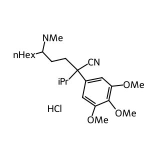 CCCCCCC(CCC(C#N)(c1cc(OC)c(OC)c(OC)c1)C(C)C)NC.Cl